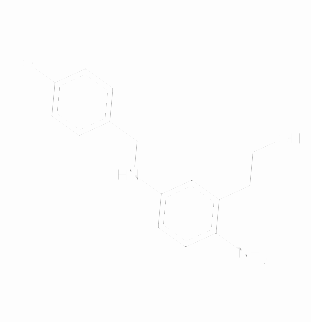 Nc1ccc(NCc2ccc(O)cc2)cc1CCO